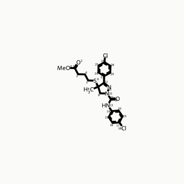 COC(=O)CCCSC1(C)CN(C(=O)Nc2ccc(Cl)cc2)N=C1c1ccc(Cl)cc1